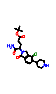 CC(C)(C)OC(=O)CCC(C(N)=O)N1Cc2c(ccc(C3CCNCC3)c2Cl)C1=O